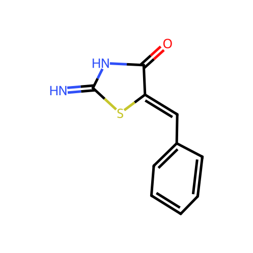 N=C1NC(=O)/C(=C/c2ccccc2)S1